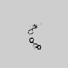 CS(=O)(=O)CC(=O)N1CCC(Oc2ccc(-c3cnc4ccccc4c3)cc2)CC1